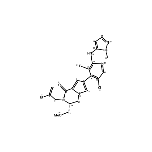 C=C(CC)CN1C(=O)c2cc(-c3c(Cl)cnc(Nc4ccnn4C)c3F)cn2C[C@@H]1COC